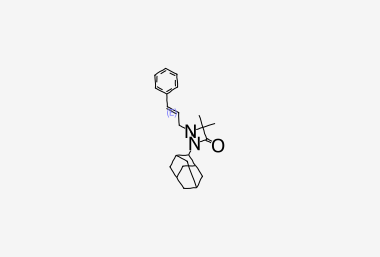 CC1(C)C(=O)N(C2C3CC4CC(C3)CC2C4)N1C/C=C/c1ccccc1